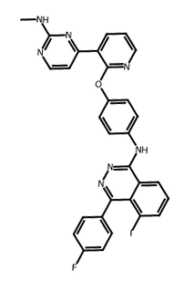 CNc1nccc(-c2cccnc2Oc2ccc(Nc3nnc(-c4ccc(F)cc4)c4c(I)cccc34)cc2)n1